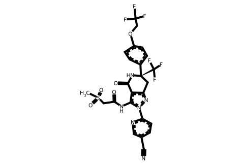 CS(=O)(=O)CC(=O)Nc1c2c(nn1-c1ccc(C#N)cn1)C[C@](c1ccc(OCC(F)(F)F)cc1)(C(F)(F)F)NC2=O